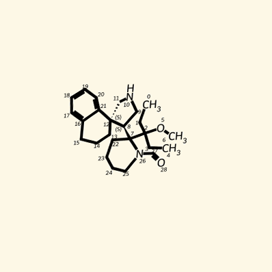 CCC(CC)(OC)C1([C@@H]2CNC[C@@]23CCCc2ccccc23)CCCCN1C=O